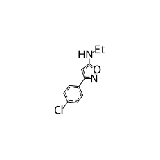 CCNc1cc(-c2ccc(Cl)cc2)no1